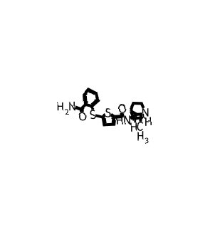 C[C@H]1[C@H](NC(=O)c2ccc(Sc3ccccc3C(N)=O)s2)C2CCN1CC2